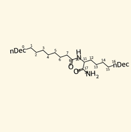 CCCCCCCCCCCCCCCCCC(=O)NC(CCCCCCCCCCCCCC)C(N)=O